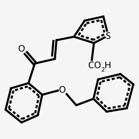 O=C(C=Cc1ccsc1C(=O)O)c1ccccc1OCc1ccccc1